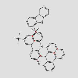 CC(C)(C)c1cc(-c2ccccc2N(c2ccc(-c3cccc4c3sc3ccccc34)cc2)c2ccccc2-c2cccc3cccc(-c4ccccc4)c23)cc(C(C)(C)C)c1